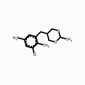 Cc1c(Cl)cc(N)cc1CC1COC(C)OC1